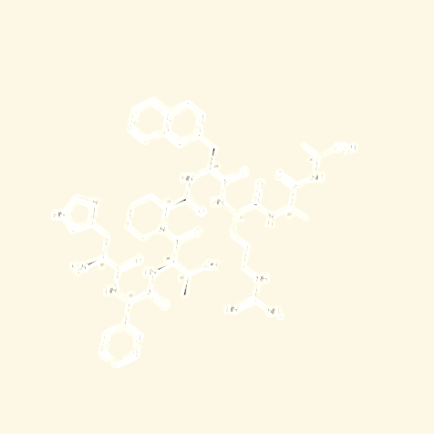 C[C@H](NC(=O)[C@H](CCCNC(=N)N)NC(=O)[C@H](Cc1ccc2ccccc2c1)NC(=O)[C@@H]1CCCCN1C(=O)[C@H](NC(=O)[C@@H](NC(=O)[C@@H](N)Cc1c[nH]cn1)c1ccccc1)[C@H](C)O)C(=O)N[C@H](C)C(=O)O